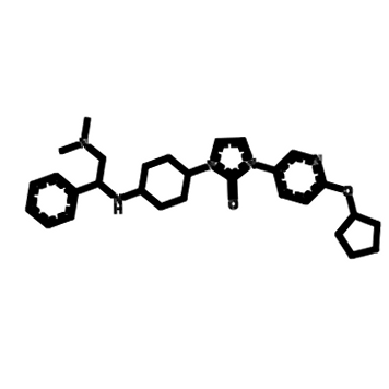 CN(C)CC(NC1CCC(n2ccn(-c3ccc(OC4CCCC4)nc3)c2=O)CC1)c1ccccc1